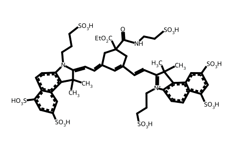 CCOC(=O)C1(C(=O)NCCS(=O)(=O)O)CC(/C=C/C2=[N+](CCCS(=O)(=O)O)c3ccc4c(S(=O)(=O)O)cc(S(=O)(=O)O)cc4c3C2(C)C)=CC(=C/C=C2/N(CCCS(=O)(=O)O)c3ccc4c(S(=O)(=O)O)cc(S(=O)(=O)O)cc4c3C2(C)C)/C1